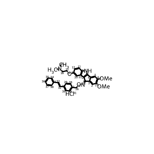 COc1cc2c(cc1OC)-c1[nH]c3ccc(OCCN(C)C)cc3c1C2=NOCc1ccc(C=Cc2ccccc2)cc1.Cl